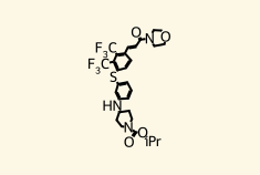 CC(C)OC(=O)N1CCC(Nc2cccc(Sc3ccc(C=CC(=O)N4CCOCC4)c(C(F)(F)F)c3C(F)(F)F)c2)CC1